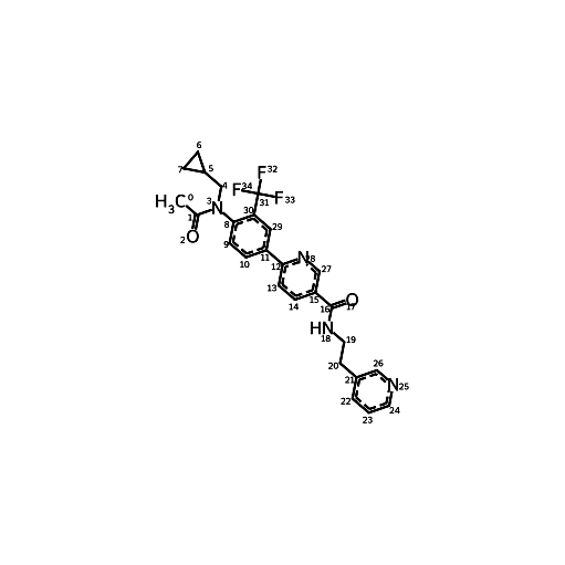 CC(=O)N(CC1CC1)c1ccc(-c2ccc(C(=O)NCCc3cccnc3)cn2)cc1C(F)(F)F